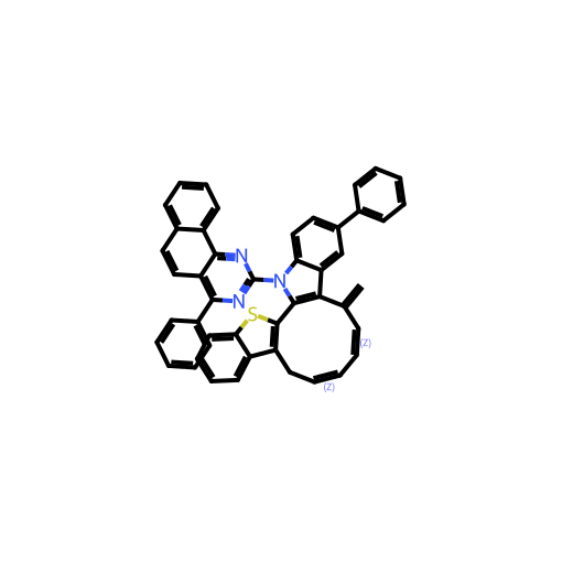 C=C1/C=C\C=C/Cc2c(sc3ccccc23)-c2c1c1cc(-c3ccccc3)ccc1n2-c1nc(-c2ccccc2)c2ccc3ccccc3c2n1